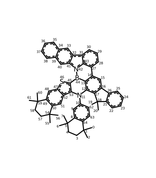 CC1(C)CCC(C)(C)c2cc(N3c4c5c(cc6c4C(C)(C)c4ccccc4-6)-c4cccc6c7cc8ccccc8cc7n(c46)B5c4sc5cc6c(cc5c43)C(C)(C)CCC6(C)C)ccc21